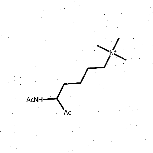 CC(=O)NC(CCCC[N+](C)(C)C)C(C)=O